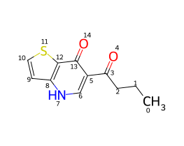 CCCC(=O)c1c[nH]c2ccsc2c1=O